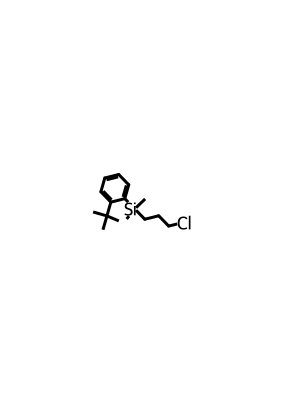 CC(C)(C)c1ccccc1[Si](C)(C)CCCCl